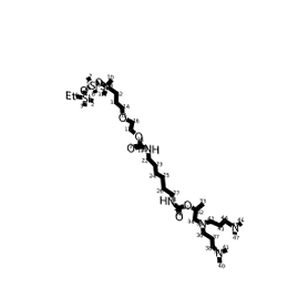 CC[Si](C)(C)O[Si](C)(C)O[Si](C)(C)CCCOCCOC(=O)NCCCCCCNC(=O)OC(C)CN(CCCN(C)C)CCCN(C)C